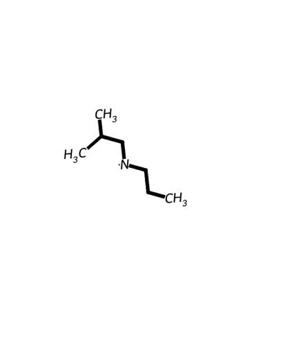 CCC[N]CC(C)C